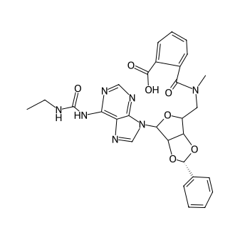 CCNC(=O)Nc1ncnc2c1ncn2C1OC(CN(C)C(=O)c2ccccc2C(=O)O)C2O[C@H](c3ccccc3)OC21